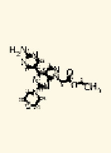 CCOC(=O)Cn1ncc2c(-c3cnc(N)nc3)nc(N3CCOCC3)nc21